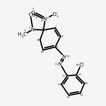 CN(C)C1([N+](=O)[O-])C=CC(N=Nc2ccccc2Cl)=CC1